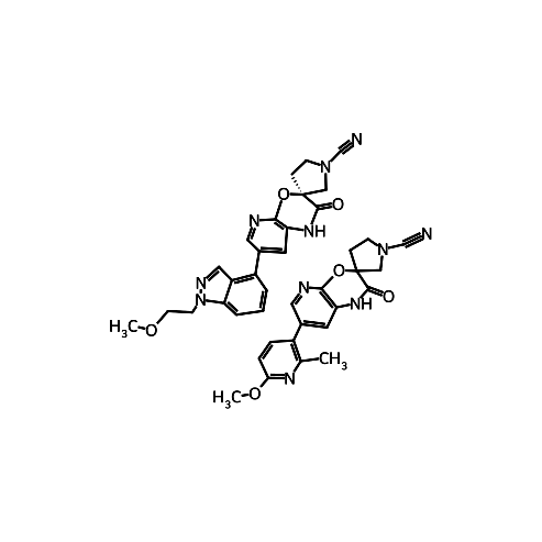 COCCn1ncc2c(-c3cnc4c(c3)NC(=O)[C@@]3(CCN(C#N)C3)O4)cccc21.COc1ccc(-c2cnc3c(c2)NC(=O)C2(CCN(C#N)C2)O3)c(C)n1